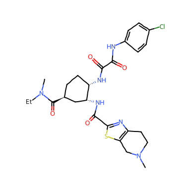 CCN(C)C(=O)[C@H]1CC[C@H](NC(=O)C(=O)Nc2ccc(Cl)cc2)[C@H](NC(=O)c2nc3c(s2)CN(C)CC3)C1